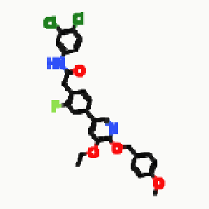 CCOc1cc(-c2ccc(CC(=O)Nc3ccc(Cl)c(Cl)c3)c(F)c2)cnc1OCc1ccc(OC)cc1